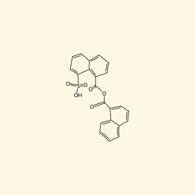 O=C(OC(=O)c1cccc2cccc(S(=O)(=O)O)c12)c1cccc2ccccc12